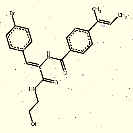 C/C=C(\C)c1ccc(C(=O)N/C(=C\c2ccc(Br)cc2)C(=O)NCCO)cc1